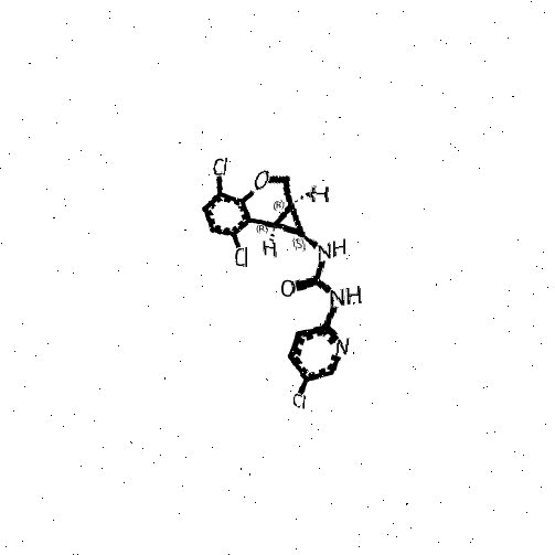 O=C(Nc1ccc(Cl)cn1)N[C@@H]1[C@@H]2COc3c(Cl)ccc(Cl)c3[C@@H]21